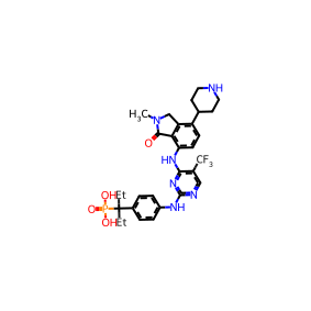 CCC(CC)(c1ccc(Nc2ncc(C(F)(F)F)c(Nc3ccc(C4CCNCC4)c4c3C(=O)N(C)C4)n2)cc1)P(=O)(O)O